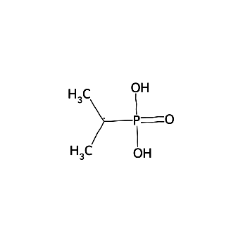 C[C](C)P(=O)(O)O